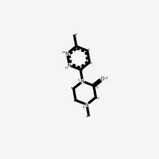 Cc1ccc(N2CCN(C)CC2=O)nn1